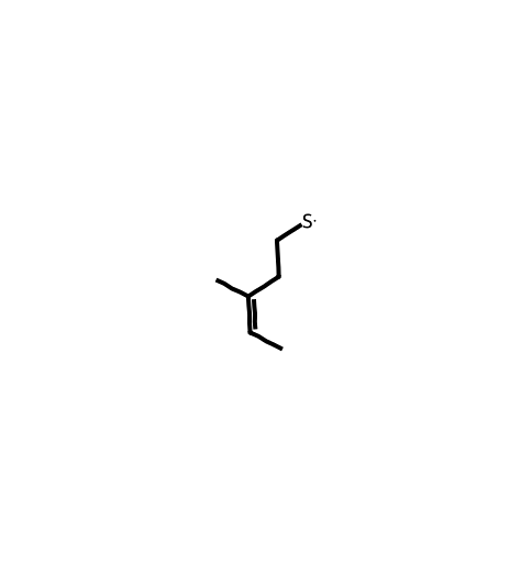 CC=C(C)CC[S]